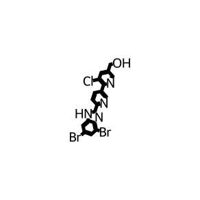 OCc1cnc(-c2ccc(-c3nc4c(Br)cc(Br)cc4[nH]3)nc2)c(Cl)c1